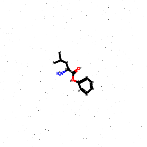 CC(C)C[C@H](N)C(=O)Oc1ccccc1